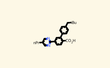 CCCc1cnc(-c2ccc(C(=O)O)c(-c3ccc(CC(C)CC)cc3)c2)nc1